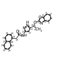 C[C@H](Oc1nc2ccccc2o1)c1cc(NC(=O)Cc2cccc3ccccc23)n[nH]1